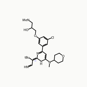 CNCC(O)COc1cc(Cl)cc(C2=N/C(=C(/C=N)C(C)(C)C)NC(N(C)C3CCOCC3)=C2)c1